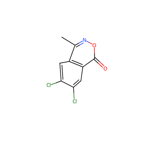 Cc1noc(=O)c2cc(Cl)c(Cl)cc12